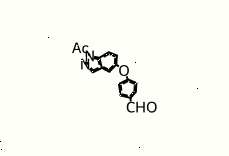 CC(=O)n1ncc2cc(Oc3ccc(C=O)cc3)ccc21